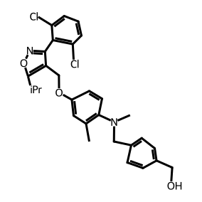 Cc1cc(OCc2c(-c3c(Cl)cccc3Cl)noc2C(C)C)ccc1N(C)Cc1ccc(CO)cc1